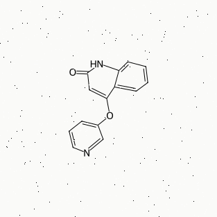 O=c1cc(Oc2cccnc2)c2ccccc2[nH]1